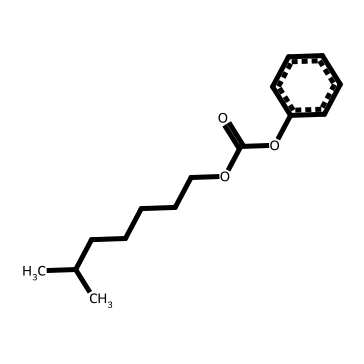 CC(C)CCCCCOC(=O)Oc1ccccc1